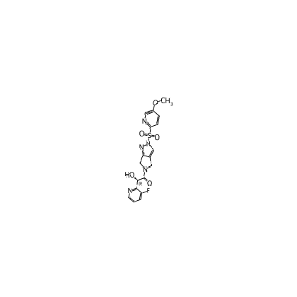 COc1ccc(S(=O)(=O)n2cc3c(n2)CN(C(=O)[C@H](O)c2ncccc2F)C3)nc1